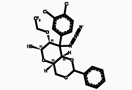 [N-]=[N+]=NC1(c2ccc(Cl)c(Cl)c2)[C@@H](OCC(F)(F)F)[C@@H](S)O[C@@H]2COC(c3ccccc3)O[C@@H]21